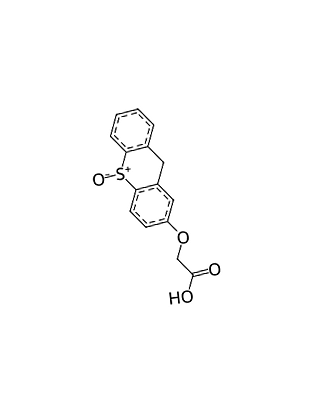 O=C(O)COc1ccc2c(c1)Cc1ccccc1[S+]2[O-]